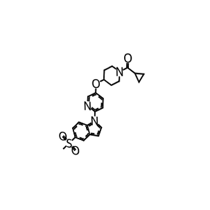 CS(=O)(=O)c1ccc2c(ccn2-c2ccc(OC3CCN(C(=O)C4CC4)CC3)cn2)c1